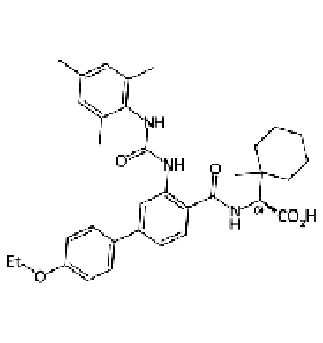 CCOc1ccc(-c2ccc(C(=O)N[C@H](C(=O)O)C3(C)CCCCC3)c(NC(=O)Nc3c(C)cc(C)cc3C)c2)cc1